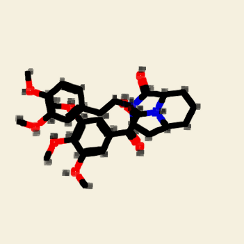 COc1ccc(CCN2CCC3CCCC(C2=O)N3C(=O)C(=O)c2cc(OC)c(OC)c(OC)c2)cc1OC